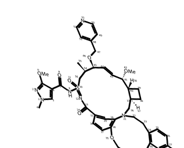 COc1nn(C)cc1C(=O)NS1(=O)=NC(=O)c2ccc3c(c2)N(CCc2ccc(Cl)cc2CCCCO3)C[C@@H]2CC[C@H]2[C@@H](OC)/C=C/[C@H](OCc2ccncc2)[C@H](C)C1